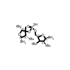 B[C@@H]1O[C@H](CO[P@@](=O)(S)OC2(C)[C@@H](C(C)(C)C)O[C@@H](B)[C@H]2C(C)(C)C)C(C(C)(C)C)[C@@H]1C(C)(C)C